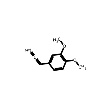 COc1ccc(C=C=N)cc1OC